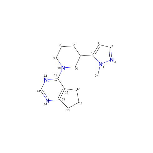 Cn1nccc1C1CCCN(c2ncnc3c2CCC3)C1